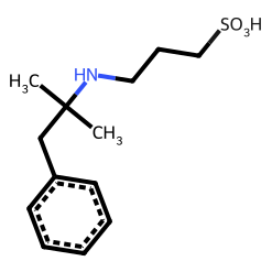 CC(C)(Cc1ccccc1)NCCCS(=O)(=O)O